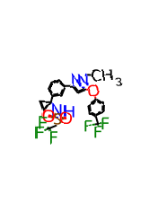 CCn1nc(-c2cccc(C3(NS(=O)(=O)CC(F)(F)F)CC3)c2)cc1Oc1ccc(C(F)(F)F)cc1